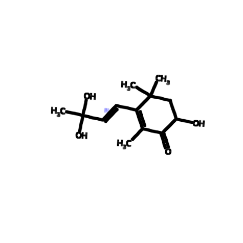 CC1=C(/C=C/C(C)(O)O)C(C)(C)CC(O)C1=O